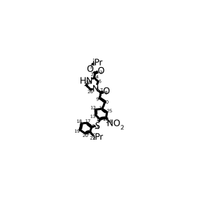 CC(C)OC(=O)C1CN(C(=O)C=Cc2ccc(Sc3ccccc3C(C)C)c([N+](=O)[O-])c2)CCN1